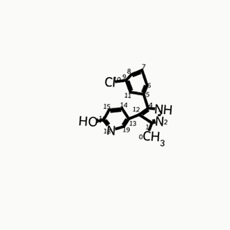 Cc1n[nH]c(-c2cccc(Cl)c2)c1-c1ccc(O)nc1